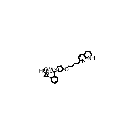 CO[C@@H]1C[C@@H]1C1CC=CC=C1C(C(=O)O)N1CC[C@@H](OCCCCc2ccc3c(n2)NCCC3)C1